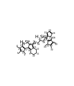 CC1=C(C)C(C)C(C2=C3CCCCC3=[C]([Zr][CH2]C[CH2][Zr]([SiH3])([C]3=CC=CC3)[C]3=C(C)C(C)=C(C)C3C)C2[SiH3])=C1C